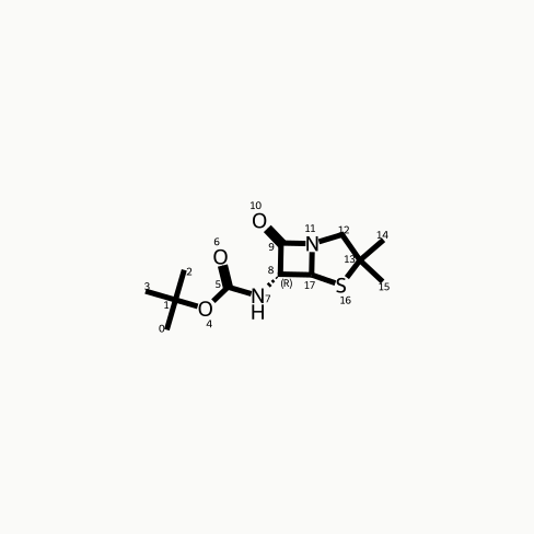 CC(C)(C)OC(=O)N[C@@H]1C(=O)N2CC(C)(C)SC12